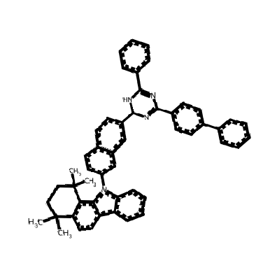 CC1(C)CCC(C)(C)c2c1ccc1c3ccccc3n(-c3ccc4ccc(C5N=C(c6ccc(-c7ccccc7)cc6)N=C(c6ccccc6)N5)cc4c3)c21